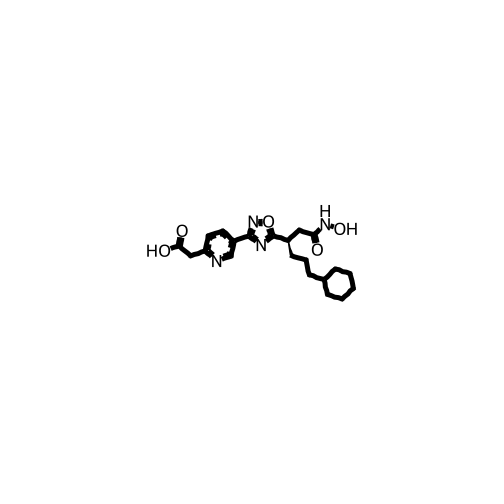 O=C(O)Cc1ccc(-c2noc([C@H](CCCC3CCCCC3)CC(=O)NO)n2)cn1